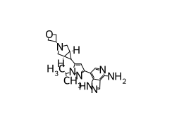 CC(C)n1nc(-c2cnc(N)c3cn[nH]c23)cc1C1[C@H]2CN(C3COC3)C[C@@H]12